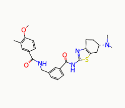 COc1ccc(C(=O)NCc2cccc(C(=O)Nc3nc4c(s3)C[C@@H](N(C)C)CC4)c2)cc1C